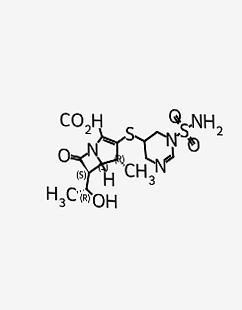 C[C@@H](O)[C@H]1C(=O)N2C(C(=O)O)=C(SC3CN=CN(S(N)(=O)=O)C3)[C@H](C)[C@H]12